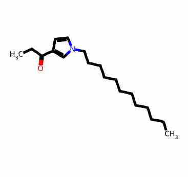 CCCCCCCCCCCCn1ccc(C(=O)CC)c1